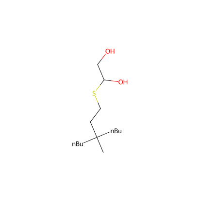 CCCCC(C)(CCCC)CCSC(O)CO